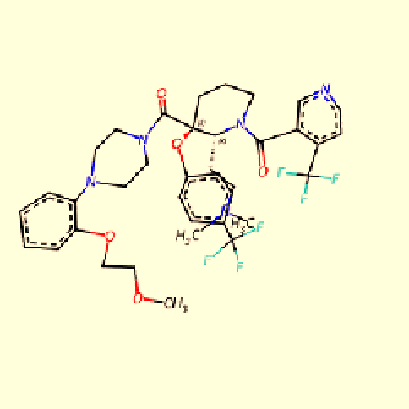 COCCOc1ccccc1N1CCN(C(=O)[C@]2(Oc3ccc(C(F)(F)F)cc3)CCCN(C(=O)c3cnccc3C(F)(F)F)[C@@H]2CCN(C)C)CC1